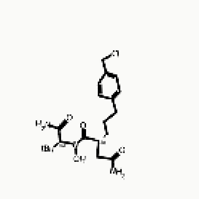 CC(C)(C)[C@@H](C(N)=O)N(O)C(=O)[C@H](CCCc1ccc(CCl)cc1)CC(N)=O